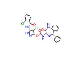 O=C(NC1N=C(c2ccccc2)c2ccccc2NC1=O)Oc1n[nH]c(NC(=O)c2ccccc2Cl)c1Cl